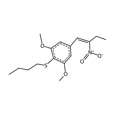 CCCCSc1c(OC)cc(C=C(CC)[N+](=O)[O-])cc1OC